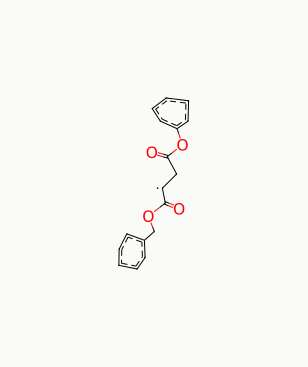 O=C([CH]CC(=O)Oc1ccccc1)OCc1ccccc1